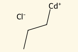 CC[CH2][Cd+].[Cl-]